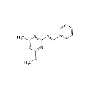 COc1cc(C)nc(N=Cc2ccccc2)n1